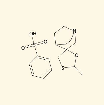 CC1OC2(CS1)CN1CCC2CC1.O=S(=O)(O)c1ccccc1